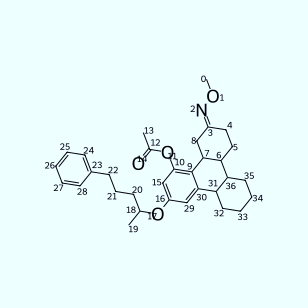 CON=C1CCC2C(C1)c1c(OC(C)=O)cc(OC(C)CCCc3ccccc3)cc1C1CCCCC12